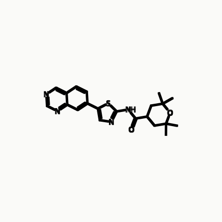 CC1(C)CC(C(=O)Nc2ncc(-c3ccc4cncnc4c3)s2)CC(C)(C)O1